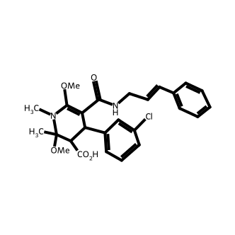 COC1=C(C(=O)NCC=Cc2ccccc2)C(c2cccc(Cl)c2)C(C(=O)O)C(C)(OC)N1C